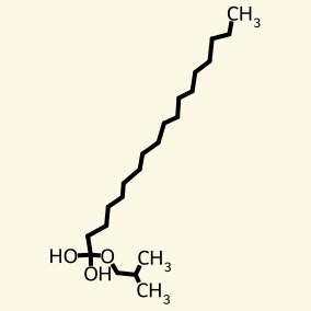 CCCCCCCCCCCCCCCCCC(O)(O)OCC(C)C